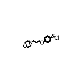 ClSc1ccc(OCCCN2CCOCC2)cc1